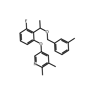 Cc1cccc(COC(C)c2c(F)cccc2Oc2cnc(C)c(C)c2)c1